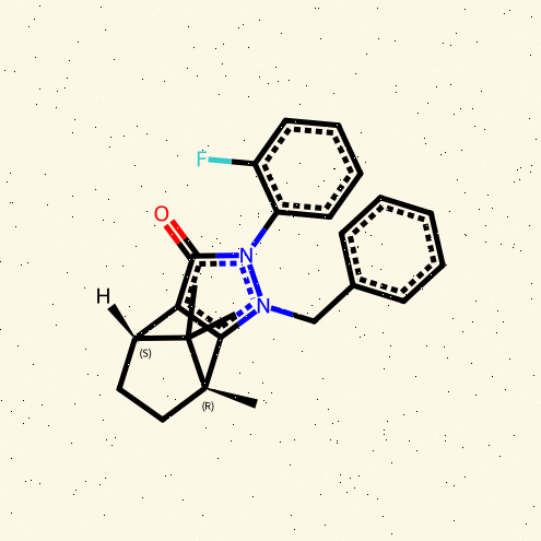 CC1(C)[C@@H]2CC[C@@]1(C)c1c2c(=O)n(-c2ccccc2F)n1Cc1ccccc1